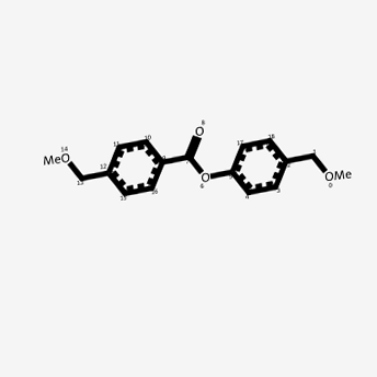 COCc1ccc(OC(=O)c2ccc(COC)cc2)cc1